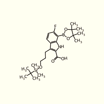 CC1(C)OB(c2c(F)ccc3c(CCCO[Si](C)(C)C(C)(C)C)c(C(=O)O)[nH]c23)OC1(C)C